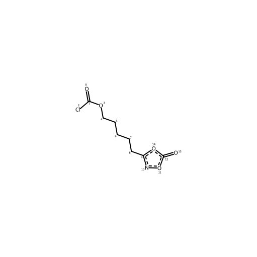 O=C(Cl)OCCCCCc1noc(=O)o1